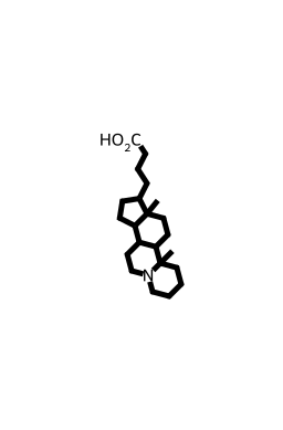 CC12CCC3C(CCN4CCCCC34C)C1CCC2CCCC(=O)O